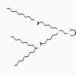 CCCCCCCCCOC(=O)CCCCCN(CCCCCC(=O)OC(CCCCCCCC)CCCCCCCC)CCN1CCCC1